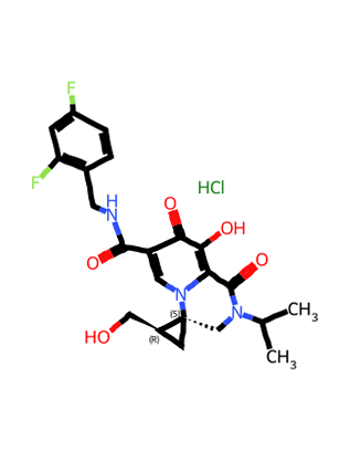 CC(C)N1C[C@@]2(C[C@H]2CO)n2cc(C(=O)NCc3ccc(F)cc3F)c(=O)c(O)c2C1=O.Cl